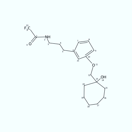 O=C(NCCCc1cccc(OCC2(O)CCCCCC2)c1)C(F)(F)F